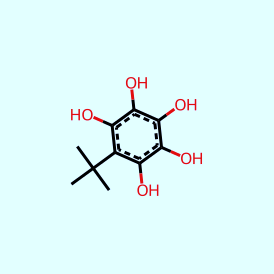 CC(C)(C)c1c(O)c(O)c(O)c(O)c1O